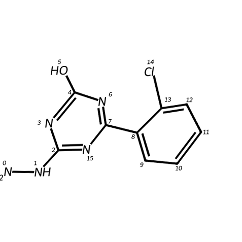 NNc1nc(O)nc(-c2ccccc2Cl)n1